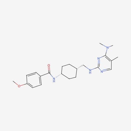 COc1ccc(C(=O)N[C@H]2CC[C@@H](CNc3ncc(C)c(N(C)C)n3)CC2)cc1